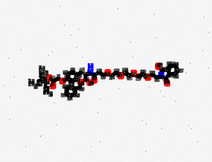 CC(C)(C)OC(=O)COc1ccc(C[C@H](NC(=O)CCOCCOCCOCCOCCN2C(=O)c3ccccc3C2=O)C(=O)OCc2ccccc2)cc1